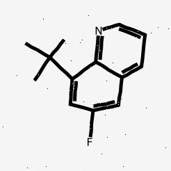 CC(C)(C)c1cc(F)cc2cccnc12